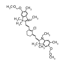 CCN1/C(=C\C=C2/CCCC(/C=C/C3=[N+](CC)c4cc(C)c(OCOC)cc4C3(C)C)=C2Cl)C(C)(C)c2cc(OCOC)c(C)cc21